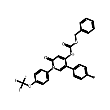 O=C(Nc1cc(=O)n(-c2ccc(OC(F)(F)F)cc2)cc1-c1ccc(F)cc1)OCc1ccccc1